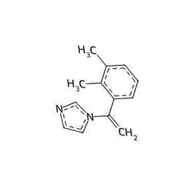 C=C(c1cccc(C)c1C)n1ccnc1